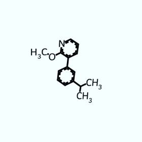 COc1ncccc1-c1cccc(C(C)C)c1